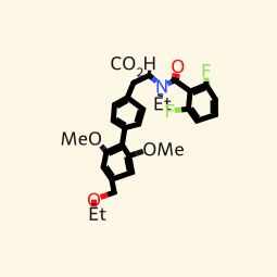 CCOCc1cc(OC)c(-c2ccc(C[C@@H](C(=O)O)N(CC)C(=O)c3c(F)cccc3F)cc2)c(OC)c1